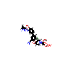 N#Cc1cc(-c2cccc(NC(=O)C3CC3)c2)ccc1O[C@H]1CCN(C(=O)CO)C[C@H]1F